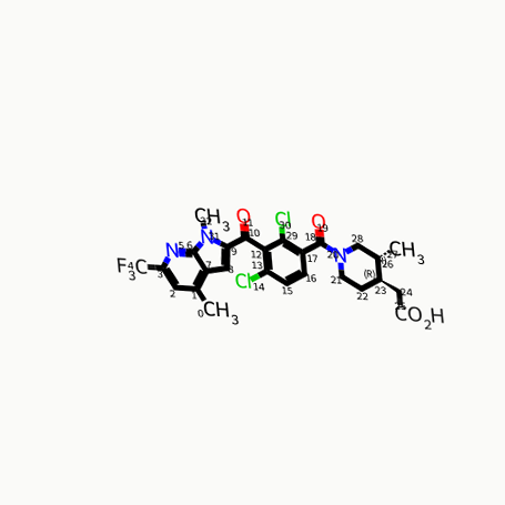 Cc1cc(C(F)(F)F)nc2c1cc(C(=O)c1c(Cl)ccc(C(=O)N3CC[C@H](CC(=O)O)[C@@H](C)C3)c1Cl)n2C